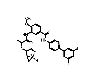 CC(NC1CO[C@@H]2CC12)C(=O)Nc1cc(C(=O)Nc2ccc(-c3cc(F)cc(F)c3)nc2)ccc1OC(F)(F)F